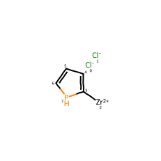 [Cl-].[Cl-].[Zr+2][c]1ccc[pH]1